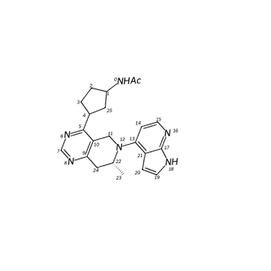 CC(=O)NC1CCC(c2ncnc3c2CN(c2ccnc4[nH]ccc24)[C@H](C)C3)C1